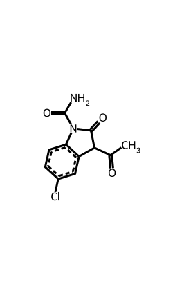 CC(=O)C1C(=O)N(C(N)=O)c2ccc(Cl)cc21